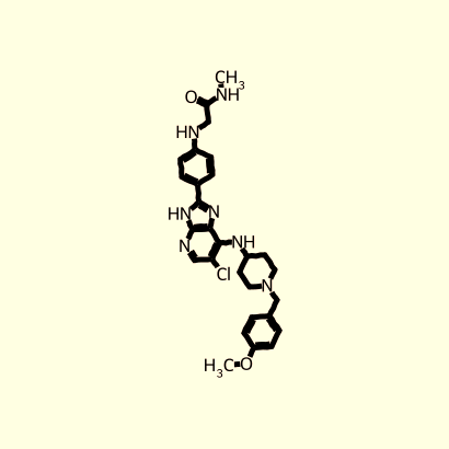 CNC(=O)CNc1ccc(-c2nc3c(NC4CCN(Cc5ccc(OC)cc5)CC4)c(Cl)cnc3[nH]2)cc1